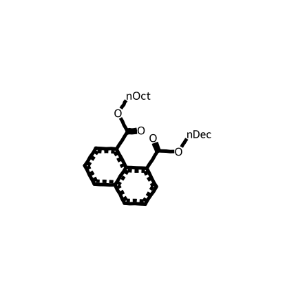 CCCCCCCCCCOC(=O)c1cccc2cccc(C(=O)OCCCCCCCC)c12